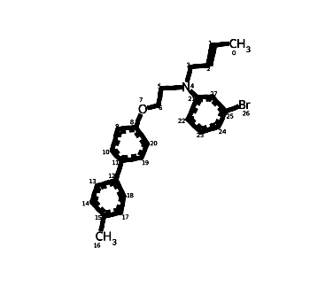 C/C=C/CN(CCOc1ccc(-c2ccc(C)cc2)cc1)c1cccc(Br)c1